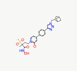 CC(CCn1ccc(-c2ccc(-c3cn(CC4CC5CC4C5)nn3)cc2)cc1=O)(C(=O)NO)S(C)(=O)=O